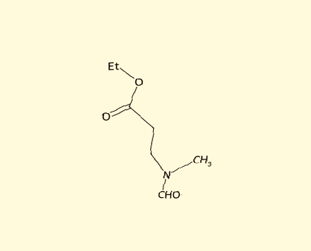 CCOC(=O)CCN(C)[C]=O